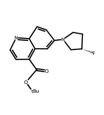 CC(C)(C)OC(=O)c1ccnc2ccc(N3CC[C@H](F)C3)cc12